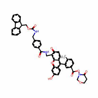 O=C(NCc1ccc(C(=O)NCc2c3oc4cc(O)ccc4c(-c4cc(C(=O)ON5COCCC5=O)ccc4C(=O)O)c-3ccc2=O)cc1)OCC1c2ccccc2-c2ccccc21